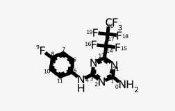 Nc1nc(Nc2ccc(F)cc2)nc(C(F)(F)C(F)(F)C(F)(F)F)n1